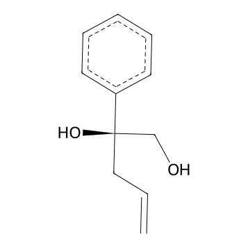 C=CC[C@@](O)(CO)c1ccccc1